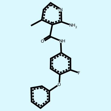 Cc1ccnc(N)c1C(=O)Nc1ccc(Oc2ccccc2)c(F)c1